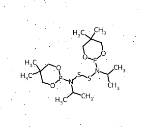 CC(C)N(SSN(C(C)C)P1OCC(C)(C)CO1)P1OCC(C)(C)CO1